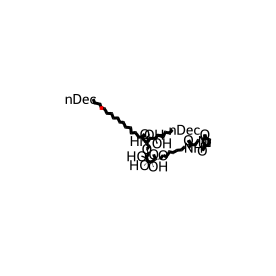 CCCCCCCCCCCCCCCCCCCCCCCCCC(=O)N[C@@H](CO[C@H]1O[C@H](COCCCCCCNC(=O)CCN2C(=O)C=CC2=O)[C@H](O)[C@H](O)[C@H]1O)[C@H](O)[C@H](O)CCCCCCCCCCCCCC